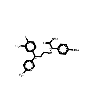 CNC(=O)[C@@H](NCC[C@@H](c1ccc(C(F)(F)F)nc1)c1ccc(F)c(C)c1)c1ccc(OC)cc1